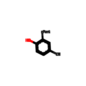 CCCCCc1cc(C#N)ccc1O